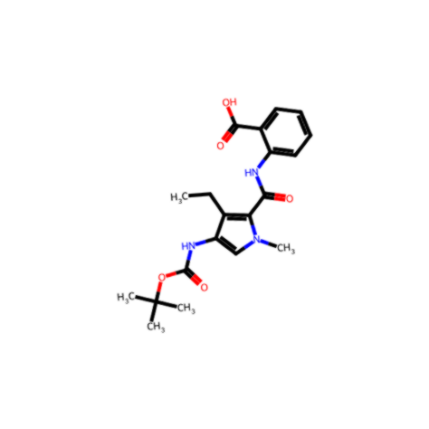 CCc1c(NC(=O)OC(C)(C)C)cn(C)c1C(=O)Nc1ccccc1C(=O)O